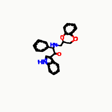 O=C(c1c[nH]c2ccccc12)C(NCC1COc2ccccc2O1)c1ccccc1